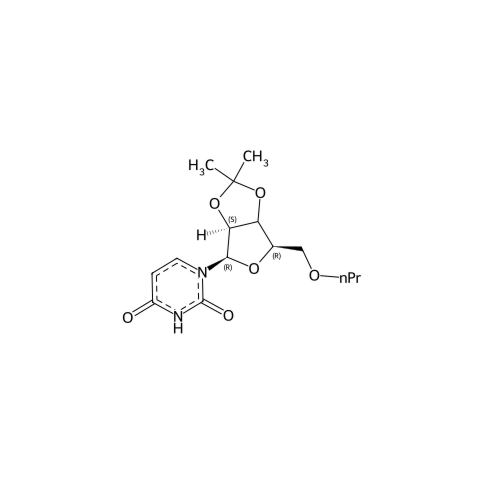 CCCOC[C@H]1O[C@@H](n2ccc(=O)[nH]c2=O)[C@H]2OC(C)(C)OC12